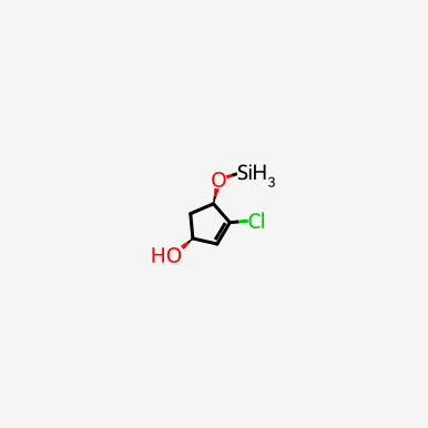 O[C@@H]1C=C(Cl)[C@H](O[SiH3])C1